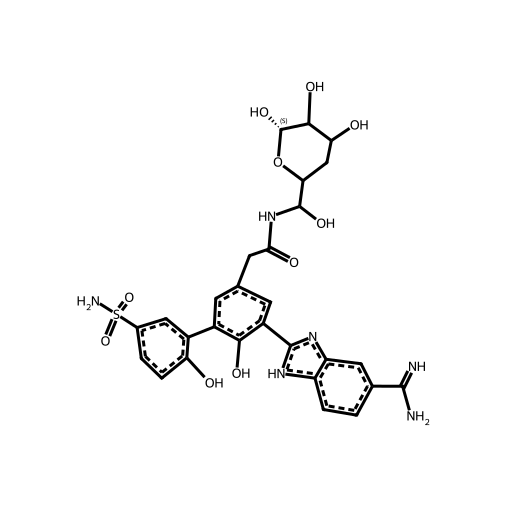 N=C(N)c1ccc2[nH]c(-c3cc(CC(=O)NC(O)C4CC(O)C(O)[C@@H](O)O4)cc(-c4cc(S(N)(=O)=O)ccc4O)c3O)nc2c1